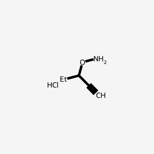 C#CC(CC)ON.Cl